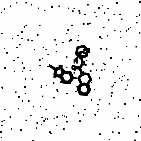 Cc1nc2cc([C@H]3c4ccccc4CCN3C(=O)O[C@@H]3CN4CCC3CC4)ccc2s1